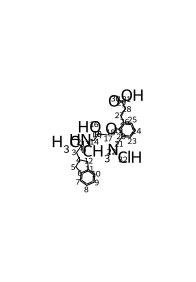 CC(C)(CC1Cc2ccccc2C1)NC[C@@H](O)COc1c(C#N)cccc1CCC(=O)O.Cl